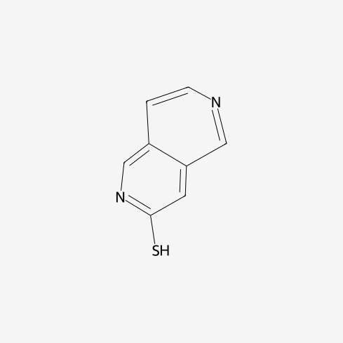 Sc1cc2cnccc2cn1